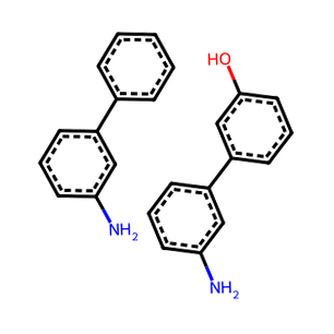 Nc1cccc(-c2cccc(O)c2)c1.Nc1cccc(-c2ccccc2)c1